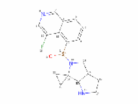 [O-][S+](c1cccc2cncc(F)c12)N1CC2CCNC2C12CC2